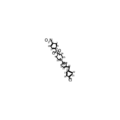 O=[N+]([O-])c1ccc(S(=O)(=O)N2CCN(c3nc(Cc4ccc(Cl)cc4)cs3)CC2)cc1